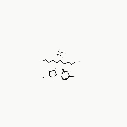 CCCCCCCCCCCCCCCCC[CH2][Na].Nc1ccn([C@@H]2O[C@H](CO)[C@@H](O)[C@H]2O)c(=O)n1.O=P(O)(O)O